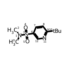 CN(C)S(=O)(=O)c1ccc(C(C)(C)C)nc1